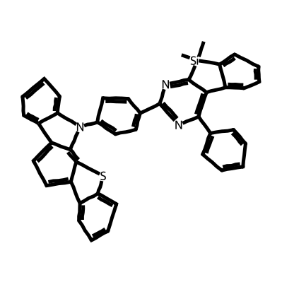 C[Si]1(C)c2ccccc2-c2c(-c3ccccc3)nc(-c3ccc(-n4c5ccccc5c5ccc6c7ccccc7sc6c54)cc3)nc21